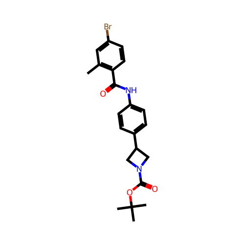 Cc1cc(Br)ccc1C(=O)Nc1ccc(C2CN(C(=O)OC(C)(C)C)C2)cc1